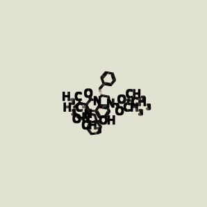 CCN(CC1(O)CCCCC1N1C=CCC(C)C(C(=O)N2CCN(C(=O)OC(C)(C)C)C[C@H]2Cc2ccccc2)C1c1ccccc1)C(C)=O